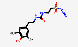 CC(C)(C)c1cc(CCNC(=O)NCCS(=O)(=O)N=[N+]=[N-])cc(C(C)(C)C)c1O